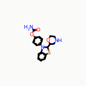 NC(=O)Oc1ccc(N2c3ccccc3SC2C2CNCCO2)cc1